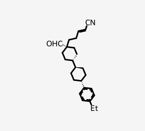 CCc1ccc([C@H]2CC[C@H]([C@H]3CC[C@](C=O)(CCC=CC#N)CC3)CC2)cc1